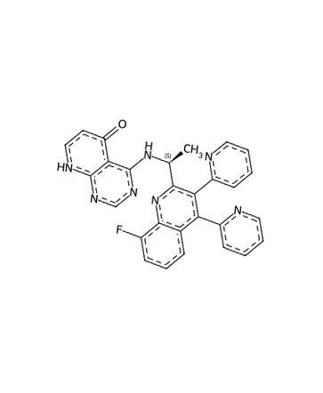 C[C@H](Nc1ncnc2[nH]ccc(=O)c12)c1nc2c(F)cccc2c(-c2ccccn2)c1-c1ccccn1